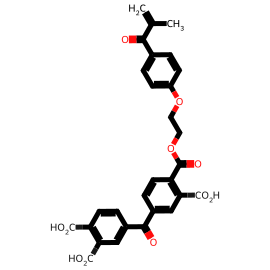 C=C(C)C(=O)c1ccc(OCCOC(=O)c2ccc(C(=O)c3ccc(C(=O)O)c(C(=O)O)c3)cc2C(=O)O)cc1